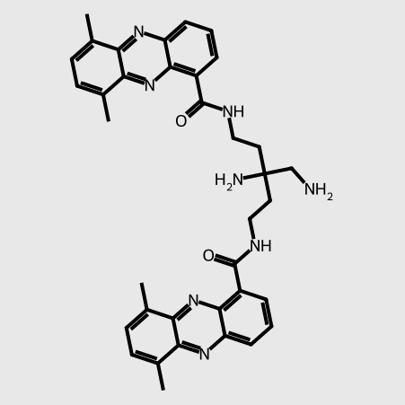 Cc1ccc(C)c2nc3c(C(=O)NCCC(N)(CN)CCNC(=O)c4cccc5nc6c(C)ccc(C)c6nc45)cccc3nc12